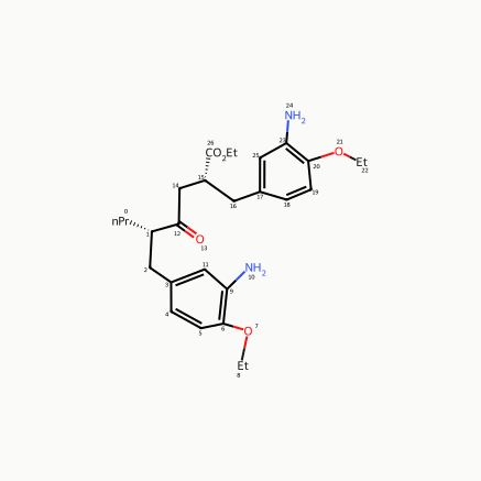 CCC[C@@H](Cc1ccc(OCC)c(N)c1)C(=O)C[C@@H](Cc1ccc(OCC)c(N)c1)C(=O)OCC